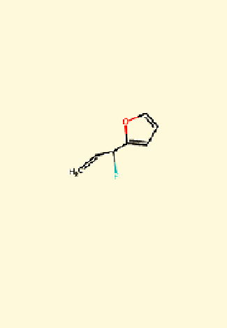 C=CC(F)c1ccco1